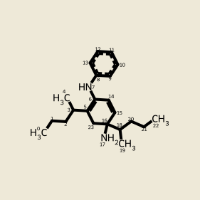 CCCC(C)C1=C(Nc2ccccc2)C=CC(N)(C(C)CCC)C1